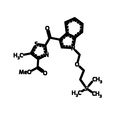 COC(=O)c1nc(C(=O)c2cn(COCC[Si](C)(C)C)c3ccccc23)sc1C